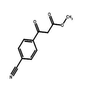 COC(=O)CC(=O)c1ccc(C#N)cc1